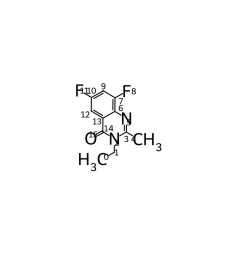 CCn1c(C)nc2c(F)cc(F)cc2c1=O